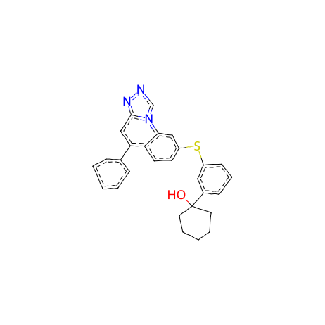 OC1(c2cccc(Sc3ccc4c(-c5ccccc5)cc5nncn5c4c3)c2)CCCCC1